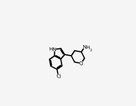 NC1COCC(c2c[nH]c3ccc(Cl)cc23)C1